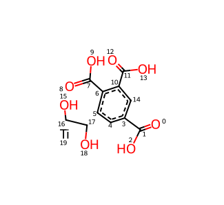 O=C(O)c1ccc(C(=O)O)c(C(=O)O)c1.OCCO.[Ti]